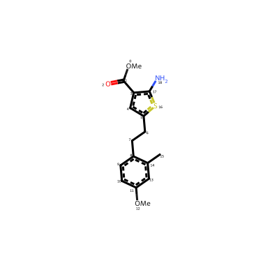 COC(=O)c1cc(CCc2ccc(OC)cc2C)sc1N